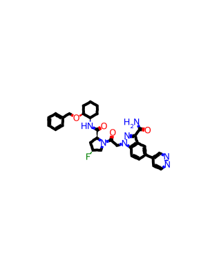 NC(=O)c1nn(CC(=O)N2C[C@H](F)C[C@H]2C(=O)N[C@H]2CCCC[C@@H]2OCc2ccccc2)c2ccc(-c3ccnnc3)cc12